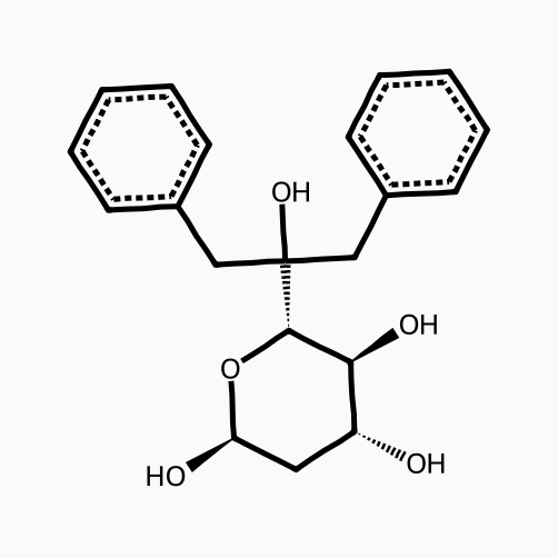 O[C@H]1[C@H](O)C[C@@H](O)O[C@@H]1C(O)(Cc1ccccc1)Cc1ccccc1